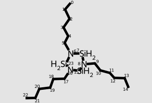 CCCCCCN1[SiH2]N(CCCCCC)[SiH2]N(CCCCCC)[SiH2]1